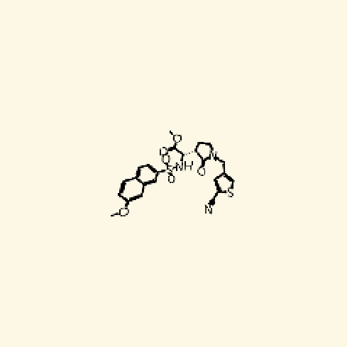 COC(=O)C(NS(=O)(=O)c1ccc2ccc(OC)cc2c1)[C@@H]1CCN(Cc2csc(C#N)c2)C1=O